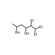 CCC(CC)C(CC)C(O)CC(C)O